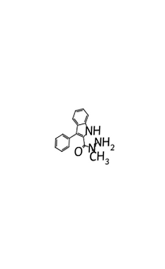 CN(N)C(=O)c1[nH]c2ccccc2c1-c1ccccc1